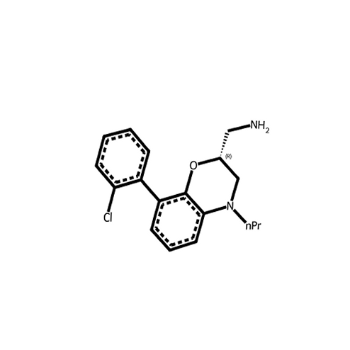 CCCN1C[C@@H](CN)Oc2c(-c3ccccc3Cl)cccc21